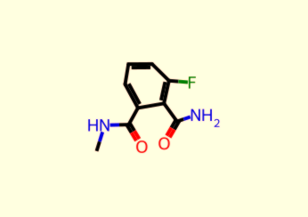 CNC(=O)c1cccc(F)c1C(N)=O